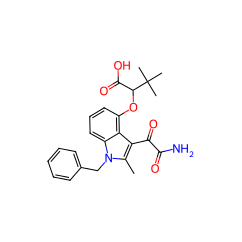 Cc1c(C(=O)C(N)=O)c2c(OC(C(=O)O)C(C)(C)C)cccc2n1Cc1ccccc1